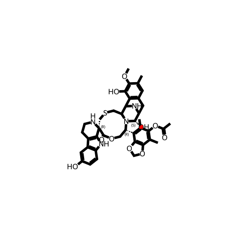 COc1c(C)cc2c(c1O)C1NC(C2)[C@H](O)N2C1CSC[C@]1(NCCc3c1[nH]c1ccc(O)cc31)C(=O)OC[C@H]2c1c(C)c(OC(C)=O)c(C)c2c1OCO2